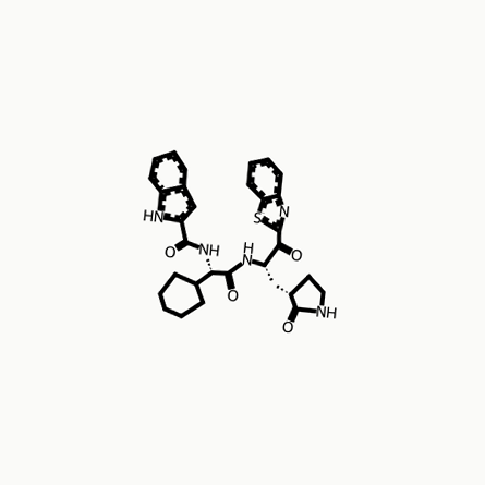 O=C(N[C@H](C(=O)N[C@@H](C[C@@H]1CCNC1=O)C(=O)c1nc2ccccc2s1)C1CCCCC1)c1cc2ccccc2[nH]1